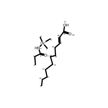 CCC(=O)N[N+](C)(C)C.CCCCCCCCC=CC(=O)O